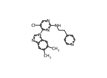 Cc1cc2ncn(-c3nc(NCCc4ccncc4)ncc3Cl)c2cc1C